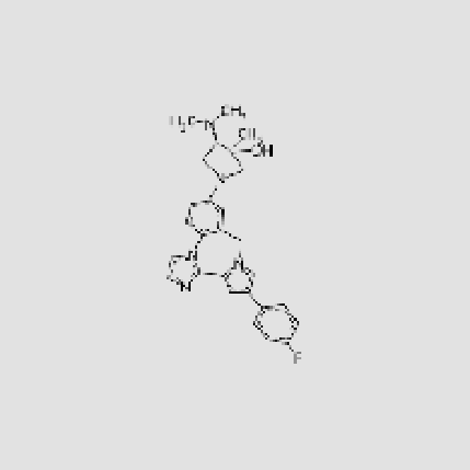 CN(C)[C@@H]1CN(c2ccc3c(c2)Cn2cc(-c4ccc(F)cc4)cc2-c2nccn2-3)C[C@]1(C)O